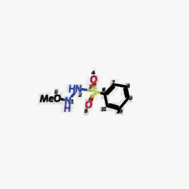 CONNS(=O)(=O)c1ccccc1